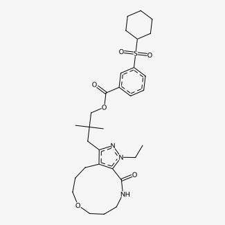 CCn1nc(CC(C)(C)COC(=O)c2cccc(S(=O)(=O)C3CCCCC3)c2)c2c1C(=O)NCCCOCCC2